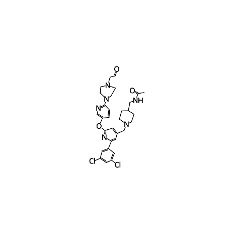 CC(=O)NCC1CCN(Cc2cc(Oc3ccc(N4CCN(CC=O)CC4)nc3)nc(-c3cc(Cl)cc(Cl)c3)c2)CC1